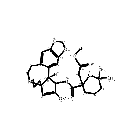 COC1=CC23CCCN2CCc2cc4c(cc2[C@@H]3C1OC(=O)C1(CC(=O)OC(C)C)CCCC(C)(C)O1)OCO4